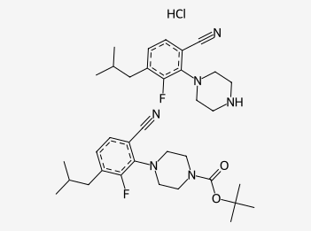 CC(C)Cc1ccc(C#N)c(N2CCN(C(=O)OC(C)(C)C)CC2)c1F.CC(C)Cc1ccc(C#N)c(N2CCNCC2)c1F.Cl